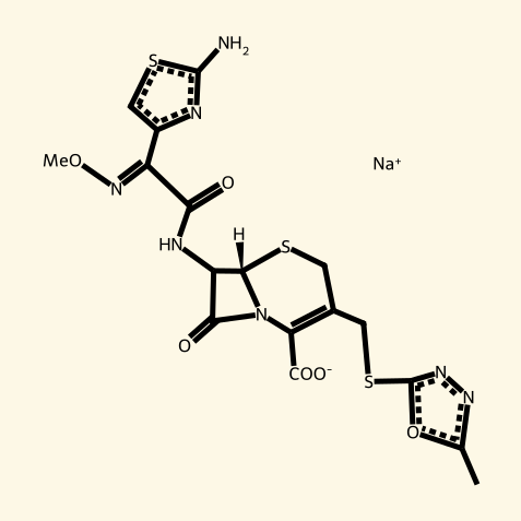 CON=C(C(=O)NC1C(=O)N2C(C(=O)[O-])=C(CSc3nnc(C)o3)CS[C@@H]12)c1csc(N)n1.[Na+]